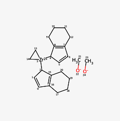 C1=C[CH]([Zr+2]2([CH]3C=CC4=C3CCCC4)[CH2][CH2]2)C2=C1CCCC2.C[O-].C[O-]